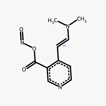 CN(C)/C=C/c1ccncc1C(=O)ON=O